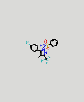 Cc1c(C(F)(F)F)nn(NS(=O)(=O)c2ccccc2)c1-c1ccc(F)cc1